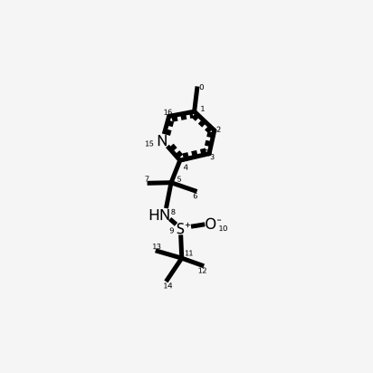 Cc1ccc(C(C)(C)N[S+]([O-])C(C)(C)C)nc1